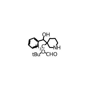 CC(C)(C)OC=O.CC1(C(O)c2ccccc2)CCCNC1